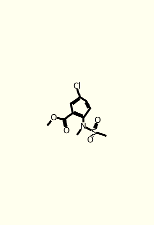 COC(=O)c1cc(Cl)ccc1N(C)S(C)(=O)=O